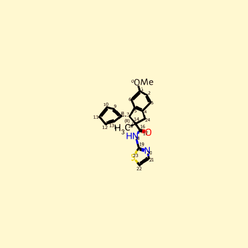 COc1ccc2c(c1)[C@@H](c1ccccc1)[C@@](C)(C(=O)Nc1nccs1)C2